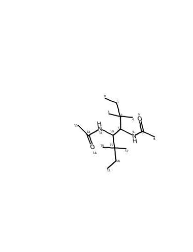 CCC(C)(C)C(NC(C)=O)C(NC(C)=O)C(C)(C)CC